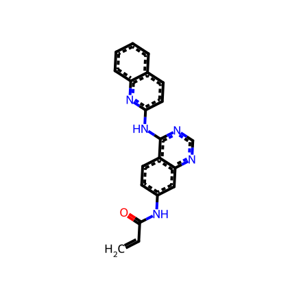 C=CC(=O)Nc1ccc2c(Nc3ccc4ccccc4n3)ncnc2c1